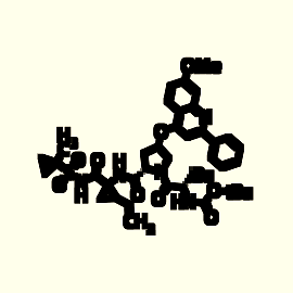 C=CC1C[C@]1(NC(=O)[C@@H]1C[C@@H](Oc2cc(-c3ccccc3)nc3cc(OC)ccc23)CN1C(=O)[C@@H](NC(=O)OC(C)(C)C)C(C)CC)C(=O)NS(=O)(=O)C1(C)CC1